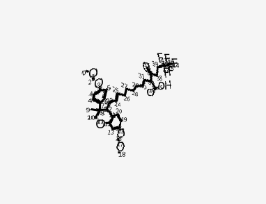 COCOc1ccc(C2(C)COc3cc(OCOC)ccc3C2C/C=C/CCCCCCC(C(=O)O)C(=O)CCC(F)(F)C(F)(F)F)cc1